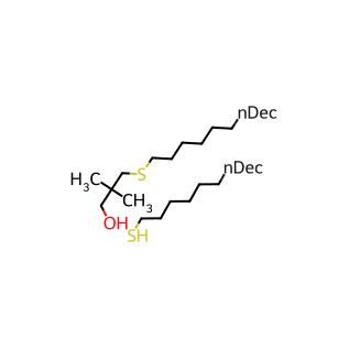 CCCCCCCCCCCCCCCCS.CCCCCCCCCCCCCCCCSCC(C)(C)CO